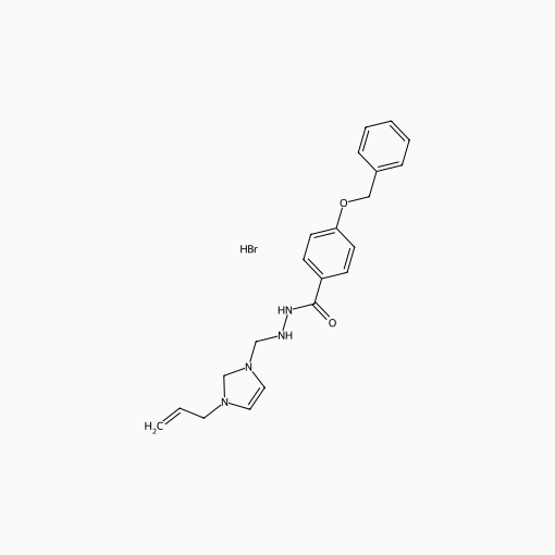 Br.C=CCN1C=CN(CNNC(=O)c2ccc(OCc3ccccc3)cc2)C1